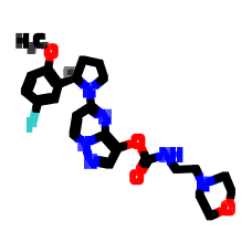 COc1ccc(F)cc1[C@H]1CCCN1c1ccn2ncc(OC(=O)NCCN3CCOCC3)c2n1